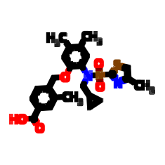 Cc1csc(S(=O)(=O)N(CC2CC2)c2cc(C)c(C)cc2OCc2ccc(C(=O)O)cc2C)n1